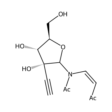 C#C[C@]1(O)C(N(/C=C\C(C)=O)C(C)=O)O[C@H](CO)[C@H]1O